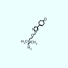 C[Si](C)(C)CCOCn1cc(C2=CCC(=O)CC2)cn1